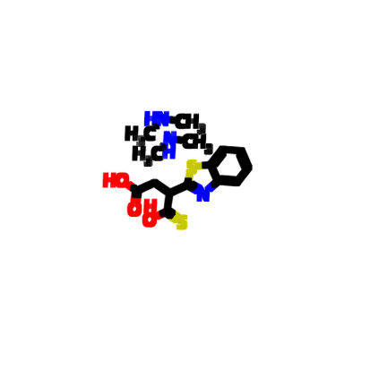 CNC.CNC.O=C(O)CC(C(O)=S)c1nc2ccccc2s1